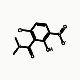 CN(C)C(=O)c1c(Cl)ccc([N+](=O)[O-])c1O